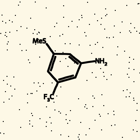 CSc1cc(N)cc(C(F)(F)F)c1